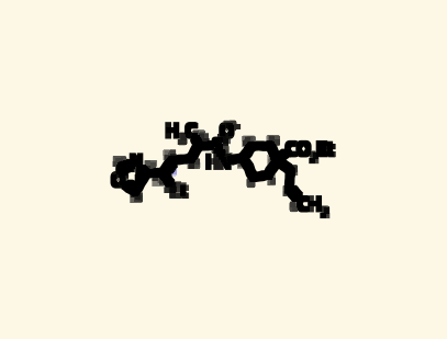 C=CCC1(C(=O)OCC)CCC(N[S+]([O-])C(C)C/C=C(\CC)c2cocn2)CC1